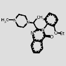 CCOc1ccccc1-n1c(C(C)N2CCN(C)CC2)nc2ccccc2c1=O